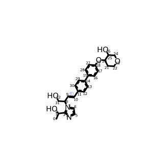 CC(O)c1nccn1C(/C=C/c1ccc(-c2ccc(OC3CCOCC3O)cc2)cc1)CO